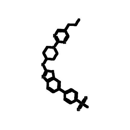 CCCc1cnc(N2CCC(Oc3nc4ccc(-c5ccc(S(C)(=O)=O)cc5)cc4s3)CC2)nc1